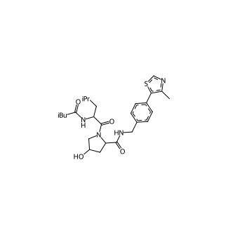 CCC(C)C(=O)NC(CC(C)C)C(=O)N1CC(O)CC1C(=O)NCc1ccc(-c2scnc2C)cc1